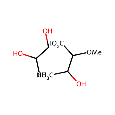 CC(O)CO.COC(C(=O)O)C(O)C(=O)O